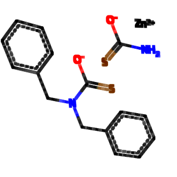 NC([O-])=S.[O-]C(=S)N(Cc1ccccc1)Cc1ccccc1.[Zn+2]